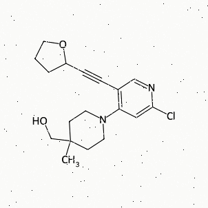 CC1(CO)CCN(c2cc(Cl)ncc2C#CC2CCCO2)CC1